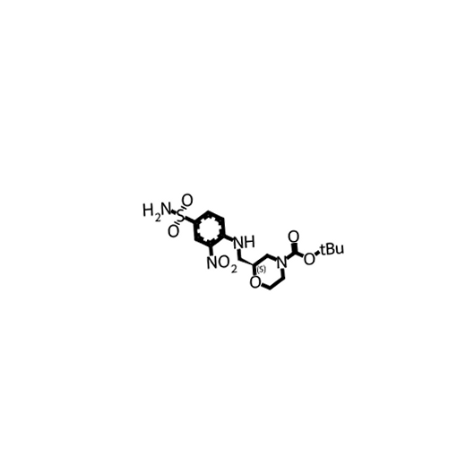 CC(C)(C)OC(=O)N1CCO[C@@H](CNc2ccc(S(N)(=O)=O)cc2[N+](=O)[O-])C1